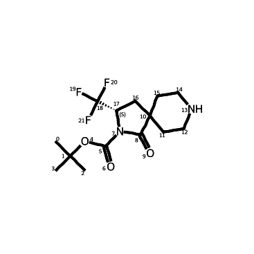 CC(C)(C)OC(=O)N1C(=O)C2(CCNCC2)C[C@H]1C(F)(F)F